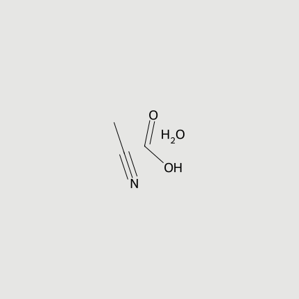 CC#N.O.O=CO